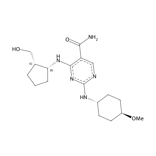 CO[C@H]1CC[C@H](Nc2ncc(C(N)=O)c(N[C@@H]3CCC[C@@H]3CO)n2)CC1